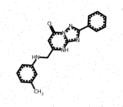 Cc1cccc(NCc2cc(=O)n3nc(-c4ccccc4)nc3[nH]2)c1